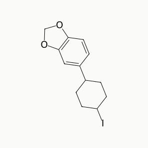 IC1CCC(c2ccc3c(c2)OCO3)CC1